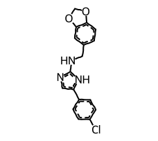 Clc1ccc(-c2cnc(NCc3ccc4c(c3)OCO4)[nH]2)cc1